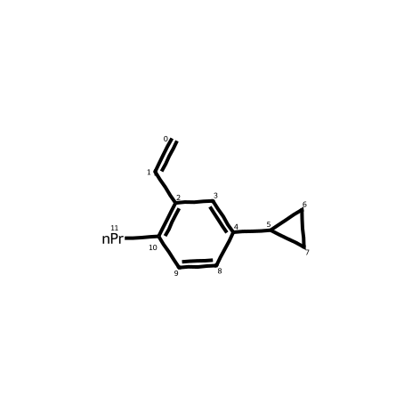 C=[C]c1cc(C2CC2)ccc1CCC